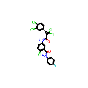 O=C(Nc1ccc(F)cc1)c1cc(NC(=O)[C@H]2[C@H](c3ccc(Cl)c(Cl)c3)C2(Cl)Cl)ccc1Cl